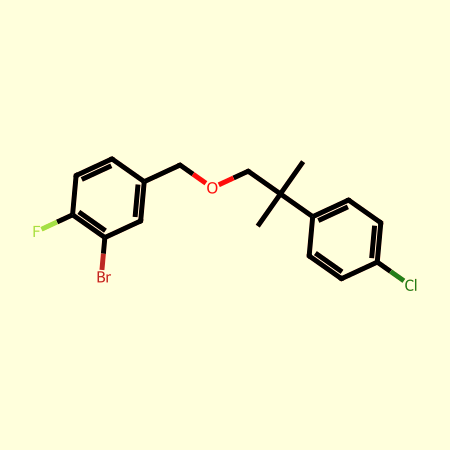 CC(C)(COCc1ccc(F)c(Br)c1)c1ccc(Cl)cc1